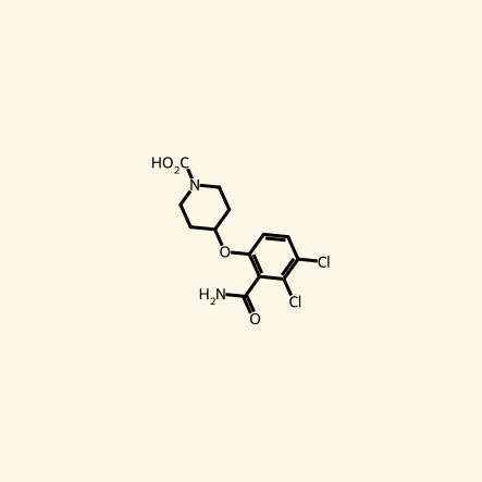 NC(=O)c1c(OC2CCN(C(=O)O)CC2)ccc(Cl)c1Cl